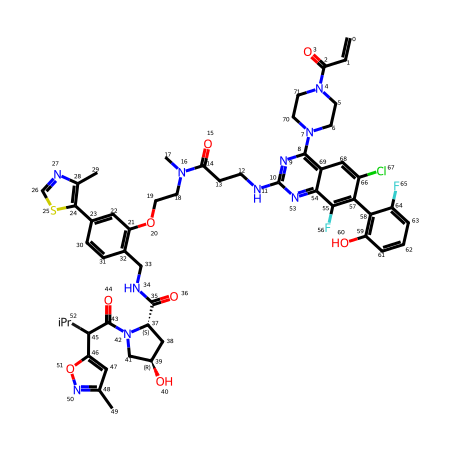 C=CC(=O)N1CCN(c2nc(NCCC(=O)N(C)CCOc3cc(-c4scnc4C)ccc3CNC(=O)[C@@H]3C[C@@H](O)CN3C(=O)C(c3cc(C)no3)C(C)C)nc3c(F)c(-c4c(O)cccc4F)c(Cl)cc23)CC1